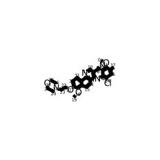 COc1cc(Nc2c(C#N)cnc3c2ccc2c(OC)c(OCCN4CCOCC4)ccc23)c(Cl)cc1C